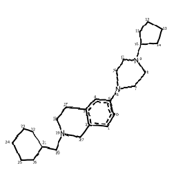 c1cc2c(cc1N1CCN(C3CCCC3)CC1)CCN(CC1CCCCC1)C2